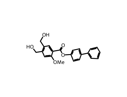 COc1cc(CO)c(CO)cc1C(=O)Oc1ccc(-c2ccccc2)cc1